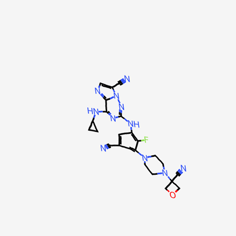 N#Cc1cc(Nc2nc(NC3CC3)c3ncc(C#N)n3n2)c(F)c(N2CCN(C3(C#N)COC3)CC2)c1